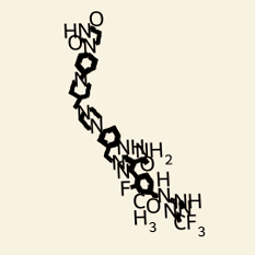 Cc1c(C(=O)Nc2nc(C(F)(F)F)n[nH]2)ccc(-c2nn3c(c2C(N)=O)Nc2ccc(N4CCN(CC5CCN(c6ccc(N7CCC(=O)NC7=O)cc6)CC5)CC4)cc2CC3)c1F